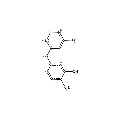 Cc1ccc(Oc2cc(Br)ncn2)cc1O